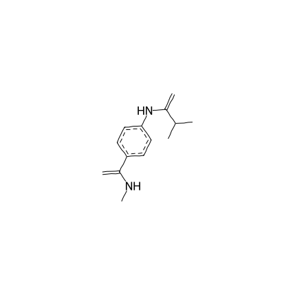 C=C(NC)c1ccc(NC(=C)C(C)C)cc1